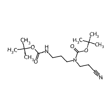 CC(C)(C)OC(=O)NCCCN(CCC#N)C(=O)OC(C)(C)C